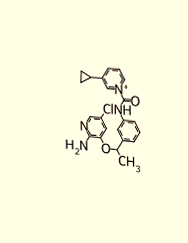 CC(Oc1cc(Cl)cnc1N)c1cccc(NC(=O)[n+]2cccc(C3CC3)c2)c1